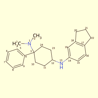 CN(C)C1(c2ccccc2)CCC(Nc2ccc3c(c2)CCC3)CC1